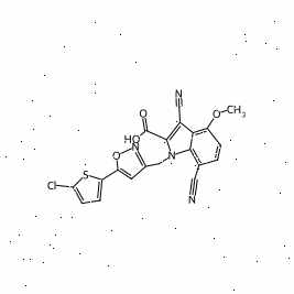 COc1ccc(C#N)c2c1c(C#N)c(C(=O)O)n2Cc1cc(-c2ccc(Cl)s2)on1